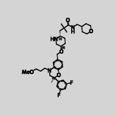 COCCCN1C[C@](C)(c2cc(F)cc(F)c2)Oc2ccc(CO[C@@H]3CC[C@@H](CC(C)(C)C(=O)NCC4CCOCC4)NC3)cc21